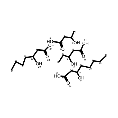 CC(O)CC(=O)O.CCC(O)CC(=O)O.CCCCC(O)CC(=O)O.CCCCCC(O)CC(=O)O